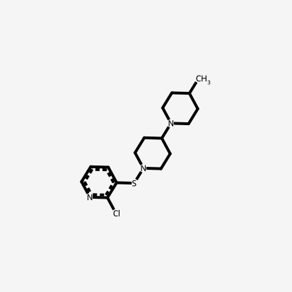 CC1CCN(C2CCN(Sc3cccnc3Cl)CC2)CC1